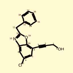 OCC#Cc1cc(Cl)cc2nc(Cc3ccccc3)oc12